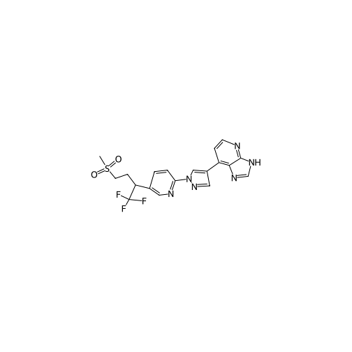 CS(=O)(=O)CCC(c1ccc(-n2cc(-c3ccnc4[nH]cnc34)cn2)nc1)C(F)(F)F